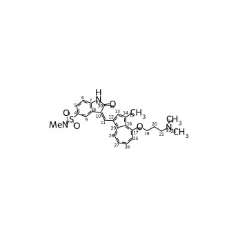 CNS(=O)(=O)c1ccc2c(c1)C(=Cc1cc(C)c3c(OCCCN(C)C)ccccc1-3)C(=O)N2